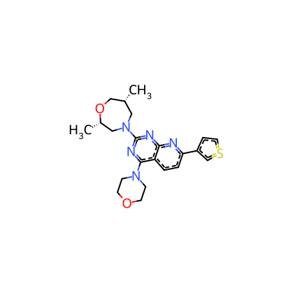 C[C@H]1CO[C@@H](C)CN(c2nc(N3CCOCC3)c3ccc(-c4ccsc4)nc3n2)C1